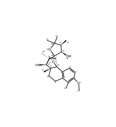 COc1ccc2c(c1C)CC[C@]1(C)[C@@H]3CC[C@]21O[C@@]1(OC(C)(C)[C@@H](C)[C@H]1O)[C@H]3C